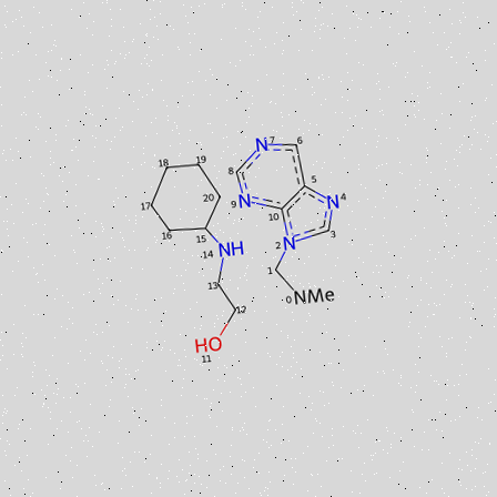 CNCn1cnc2cncnc21.OCCNC1CCCCC1